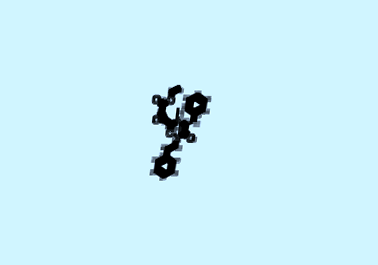 CCOC(=O)C1OC1C(=O)N[C@H](Cc1ccccc1)C(=O)NCCc1ccccc1